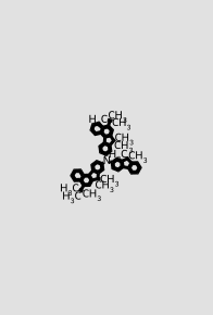 CC(C)(C)c1cc2c(c3ccccc13)-c1ccc(N(c3ccc4c(c3)C(C)(C)c3ccccc3-4)c3ccc4c(c3)C(C)(C)c3cc(C(C)(C)C)c5ccccc5c3-4)cc1C2(C)C